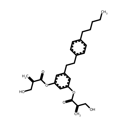 C=C(CO)C(=O)Oc1cc(CCc2ccc(CCCCC)cc2)cc(OC(=O)C(=C)CO)c1